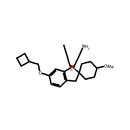 COC1CCC2(CC1)Cc1ccc(OCC3CCC3)cc1[C@]21N=C(C)C(N)=N1